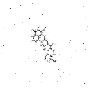 CCC1CN(C(=O)c2cc(Cn3c(=O)[nH]c(=O)c4ccccc43)ccc2F)CCN1C(=O)O